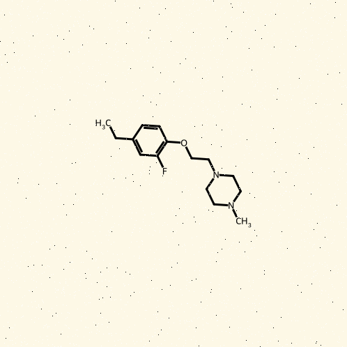 CCc1ccc(OCCN2CCN(C)CC2)c(F)c1